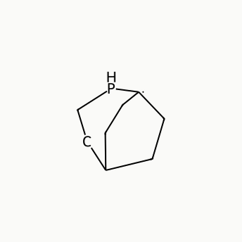 C1CC2CC[C](CC2)P1